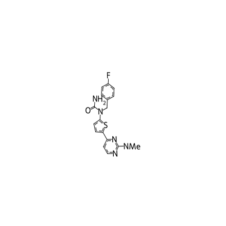 CNc1nccc(-c2ccc(N(Cc3ccc(F)cc3)C(N)=O)s2)n1